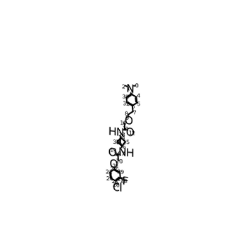 CN(C)c1ccc(CCOCC(=O)NC23CC(NC(=O)COc4ccc(Cl)c(F)c4)(C2)C3)cc1